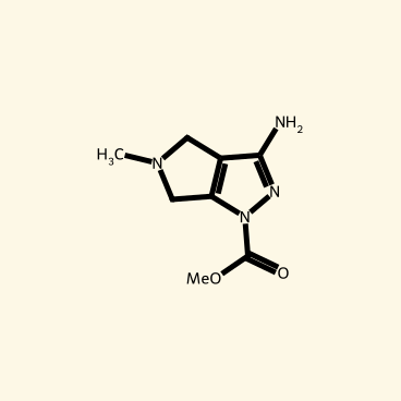 COC(=O)n1nc(N)c2c1CN(C)C2